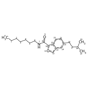 CCCCCCCNC(=O)c1occ2cc(CCC(C)C)ccc12